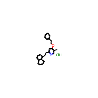 Cc1cnc(CCc2cccc3ccccc23)cc1OCCc1ccccc1.Cl